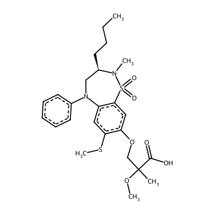 CCCC[C@@H]1CN(c2ccccc2)c2cc(SC)c(OCC(C)(OC)C(=O)O)cc2S(=O)(=O)N1C